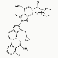 COc1cc(C(=O)N2CC3CCC2C3N)cc2nc(-c3cc4ccc(-c5cccc(F)c5C(N)=O)nc4n3CC3CC3)n(C)c12